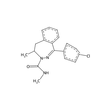 CNC(=O)N1N=C(c2ccc(Cl)cc2)c2ccccc2CC1C